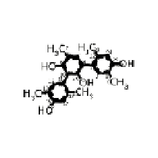 Cc1cc(-c2cc(C)c(O)c(-c3cc(C)c(O)cc3C)c2O)c(C)cc1O